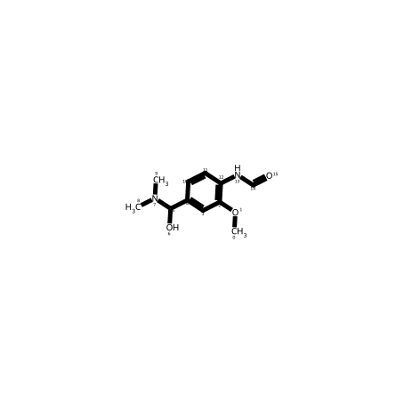 COc1cc(C(O)N(C)C)ccc1NC=O